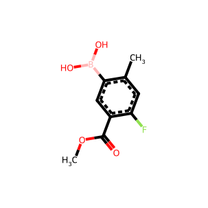 COC(=O)c1cc(B(O)O)c(C)cc1F